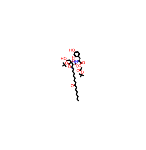 CCCCCCCC(=O)CCCCCC/C=C/[C@H](C(=O)N[C@@H](Cc1ccc(O)cc1)C(=O)OCC(=O)OC(C)(C)C)[C@@](O)(CCO)C(=O)OC(C)(C)C